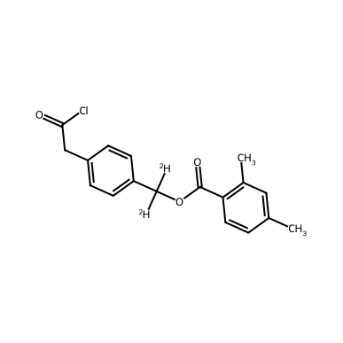 [2H]C([2H])(OC(=O)c1ccc(C)cc1C)c1ccc(CC(=O)Cl)cc1